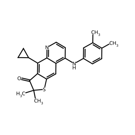 Cc1ccc(Nc2ccnc3c(C4CC4)c4c(cc23)SC(C)(C)C4=O)cc1C